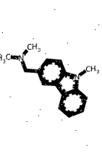 CN(C)Cc1ccc2c(c1)c1ccccc1n2C